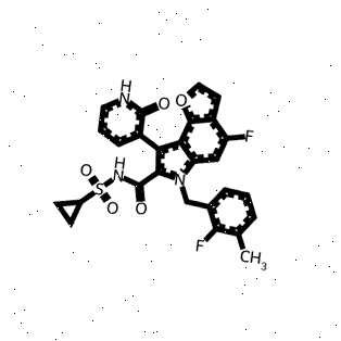 Cc1cccc(Cn2c(C(=O)NS(=O)(=O)C3CC3)c(-c3ccc[nH]c3=O)c3c4occc4c(F)cc32)c1F